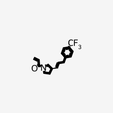 C=CC(=O)N1CC[C@H](/C=C/Cc2ccc(C(F)(F)F)cc2)C1